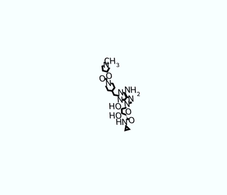 CN1CCC(OC(=O)N2CCC(Cc3nc(N)c4ncn([C@@H]5O[C@H](C(=O)NC6CC6)C(O)C5O)c4n3)CC2)C1